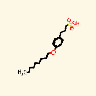 CCCCCCCCCOc1ccc(CCCS(=O)(=O)O)cc1